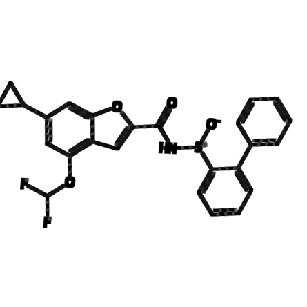 O=C(N[S+]([O-])c1ccccc1-c1ccccc1)c1cc2c(OC(F)F)cc(C3CC3)cc2o1